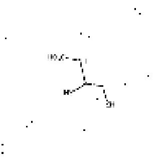 O=C(O)NC(S)CS